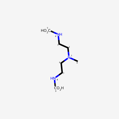 CN(CCNC(=O)O)CCNC(=O)O